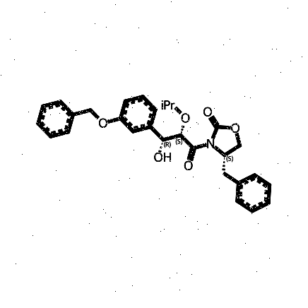 CC(C)O[C@H](C(=O)N1C(=O)OC[C@@H]1Cc1ccccc1)[C@H](O)c1cccc(OCc2ccccc2)c1